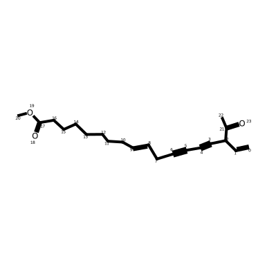 C=CC(C#CC#CCC=CCCCCCCCC(=O)OC)C(C)=O